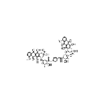 COc1cccc2c1C(=O)c1c(O)c3c(c(O)c1C2=O)C[C@@](O)(C(C)=O)C[C@@H]3OC1CC(NCc2ccc(CNC3CC(O[C@H]4C[C@](O)(C(C)=O)Cc5c(O)c6c(c(O)c54)C(=O)c4c(OC)cccc4C6=O)OC(C)C3O)cc2)C(O)C(C)O1